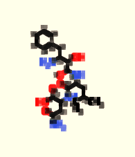 CC(C)CC(NC(=O)C(O)C(N)Cc1ccccc1)C(=O)NC(CC(N)=O)C(=O)O